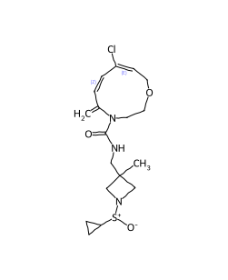 C=C1/C=C\C(Cl)=C/COCCN1C(=O)NCC1(C)CN([S+]([O-])C2CC2)C1